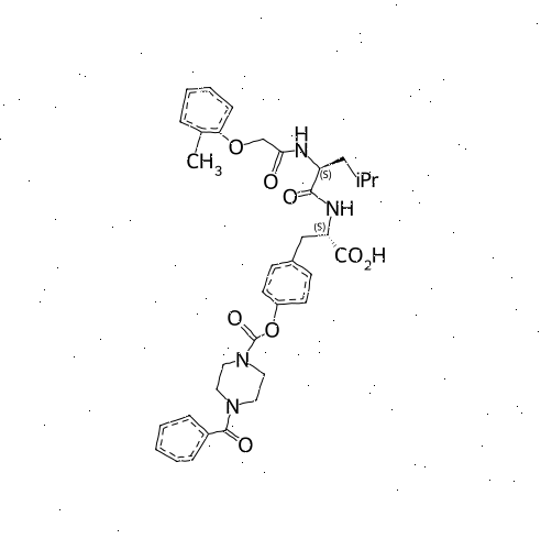 Cc1ccccc1OCC(=O)N[C@@H](CC(C)C)C(=O)N[C@@H](Cc1ccc(OC(=O)N2CCN(C(=O)c3ccccc3)CC2)cc1)C(=O)O